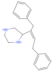 C(Cc1ccccc1)=C(Cc1ccccc1)C1CNCCN1